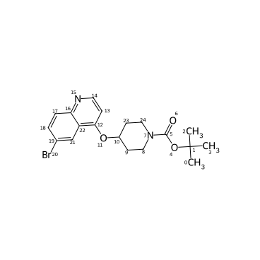 CC(C)(C)OC(=O)N1CCC(Oc2ccnc3ccc(Br)cc23)CC1